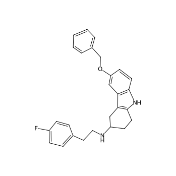 Fc1ccc(CCNC2CCc3[nH]c4ccc(OCc5ccccc5)cc4c3C2)cc1